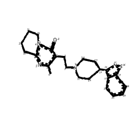 Cc1nc2n(c(=O)c1CCN1CCC(c3nsc4ccccc34)CC1)CCCC2